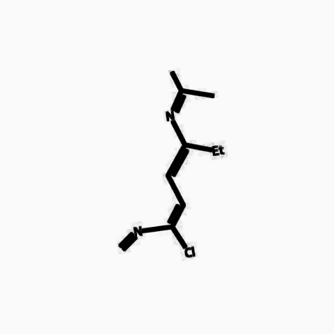 C=N/C(Cl)=C\C=C(/CC)N=C(C)C